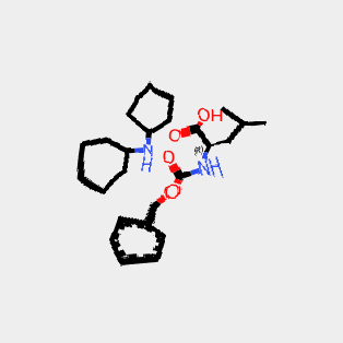 C1CCC(NC2CCCCC2)CC1.CC(C)C[C@@H](NC(=O)OCc1ccccc1)C(=O)O